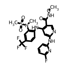 CONC(=O)c1cnc(Nc2cccc(F)n2)cc1Nc1ccc(C(F)(F)F)cc1N(C)S(C)(=O)=O